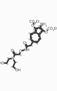 CCOC(=O)Oc1c2ccc(CC(=O)NOCC(=O)N(CCO)CCO)ccc-2c(OC(=O)OCC)c1N